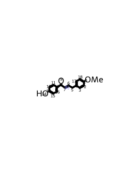 COc1ccc(C/C=C/C(=O)c2ccc(O)cc2)cc1